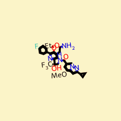 CCOc1c(CC(N)=O)cc([C@@](O)(CNC(=O)c2cc(OC)c3cc(C4CC4)nn3c2)C(F)(F)F)nc1-c1ccc(F)cc1